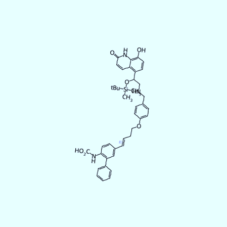 CC(C)(C)[Si](C)(C)OC(CNCc1ccc(OCC/C=C/c2ccc(NC(=O)O)c(-c3ccccc3)c2)cc1)c1ccc(O)c2[nH]c(=O)ccc12